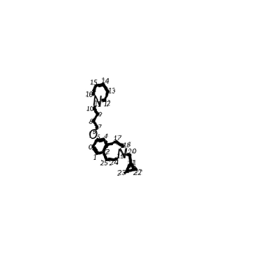 c1cc2c(cc1OCCCCN1CCCCC1)CCN(CC1CC1)CC2